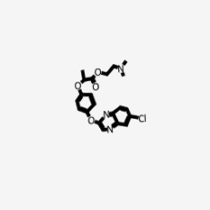 CC(Oc1ccc(Oc2cnc3cc(Cl)ccc3n2)cc1)C(=O)OCCN(C)C